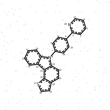 c1ccc(-c2ccc(-n3c4ccccc4c4c5sccc5ccc43)cc2)nc1